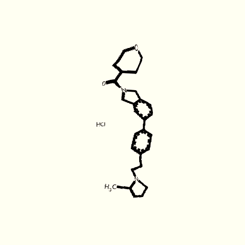 CC1CCCN1CCc1ccc(-c2ccc3c(c2)CN(C(=O)C2CCOCC2)C3)cc1.Cl